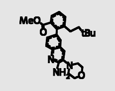 COC(=O)c1cccc(CCC(C)(C)C)c1-c1ccc2nc(N)c(N3CCOCC3)cc2c1